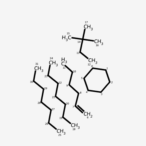 C1CCCCC1.C=CCCCC.CCC(C)(C)C.CCCCCCC.CCCCCCC